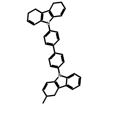 CC1C=Cc2c(c3ccccc3n2-c2ccc(-c3ccc(-n4c5c(c6c4C=CCC6)CCC=C5)cc3)cc2)C1